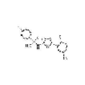 CC(C)(Nc1nnc(-c2cc(C#N)ccc2F)o1)c1ccc(F)cc1